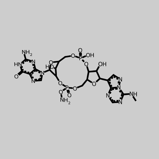 CNc1ncnc2c(C3OC4COP(=O)(ON)OC5C(O)C(COP(=O)(O)OC4C3O)OC5n3cnc4c(=O)[nH]c(N)nc43)cnn12